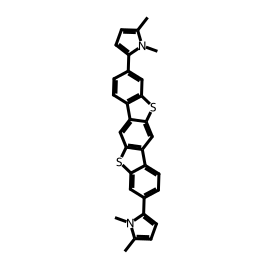 Cc1ccc(-c2ccc3c(c2)sc2cc4c(cc23)sc2cc(-c3ccc(C)n3C)ccc24)n1C